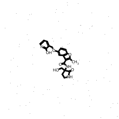 Cc1oc2ccc(OCc3cccnc3O)cc2c1C(=O)NC1(CO)CCNC1=O